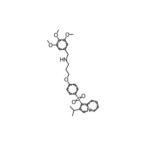 COc1cc(CNCCCOc2ccc(S(=O)(=O)c3c(C(C)C)cn4ccccc34)cc2)cc(OC)c1OC